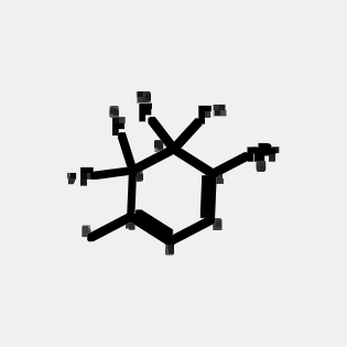 CCCC1=CC=C(C)C(F)(F)C1(F)F